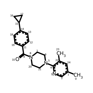 Cc1cnc(N2CCN(C(=O)c3ccc(C4[CH]C4)cc3)CC2)c(C)c1